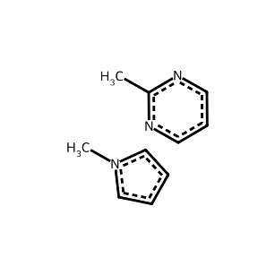 Cc1ncccn1.Cn1cccc1